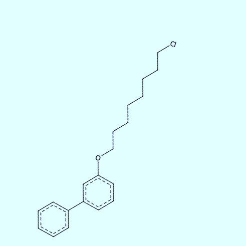 ClCCCCCCCCOc1cccc(-c2ccccc2)c1